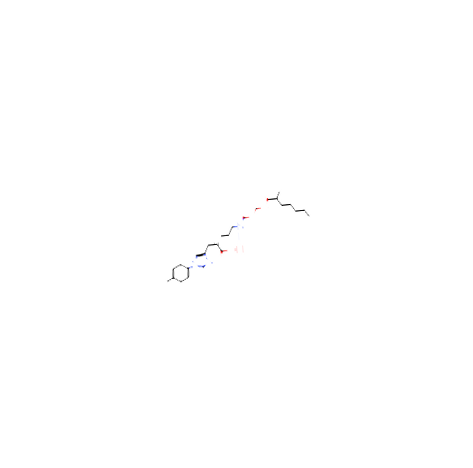 CCCCCC(C)C(=O)OCOC(=O)NCCC[C@@H](Cc1cn(C2CCC(C)CC2)cn1)C(=O)O